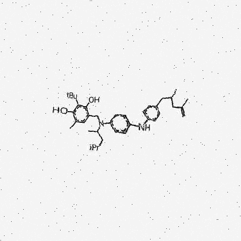 C=C(C)CC(C)Cc1ccc(Nc2ccc(N(Cc3cc(C)c(O)c(C(C)(C)C)c3O)C(C)CC(C)C)cc2)cc1